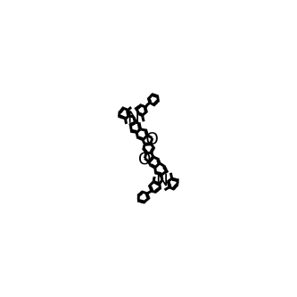 Cc1cc(-c2ccccc2)ccc1N(c1ccc2cc3c(cc2c1)oc1cc2c(cc13)oc1cc3cc(N(c4ccc(-c5ccccc5)cc4C)c4c(C)cccc4C)ccc3cc12)c1c(C)cccc1C